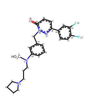 O=C(O)N(CCCN1CCCC1)c1cccc(Cn2nc(-c3ccc(F)c(F)c3)ccc2=O)c1